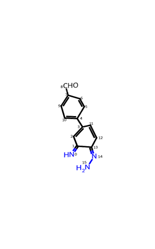 N=C1C=C(c2ccc(C=O)cc2)C=C/C1=N/N